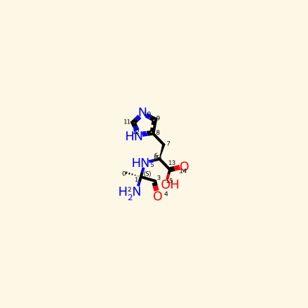 C[C@@](N)(C=O)N[C@@H](Cc1cnc[nH]1)C(=O)O